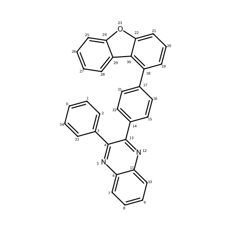 c1ccc(-c2nc3ccccc3nc2-c2ccc(-c3cccc4oc5ccccc5c34)cc2)cc1